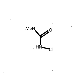 CNC(=O)NCl